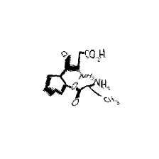 C[C@H](N)C(=O)OC1=CCC=CC1C(=O)[C@@H](N)CC(=O)O